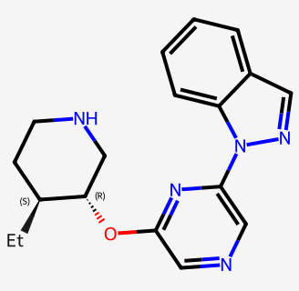 CC[C@H]1CCNC[C@@H]1Oc1cncc(-n2ncc3ccccc32)n1